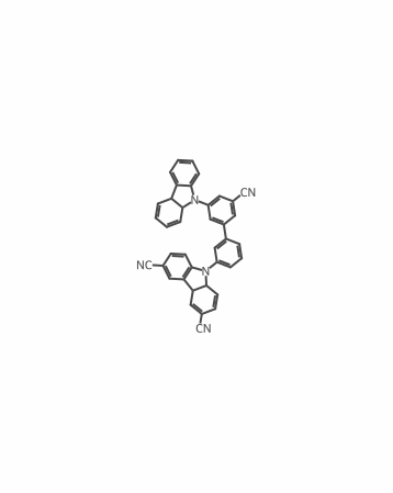 N#CC1=CC2c3cc(C#N)ccc3N(c3cccc(-c4cc(C#N)cc(N5c6ccccc6C6C=CC=CC65)c4)c3)C2C=C1